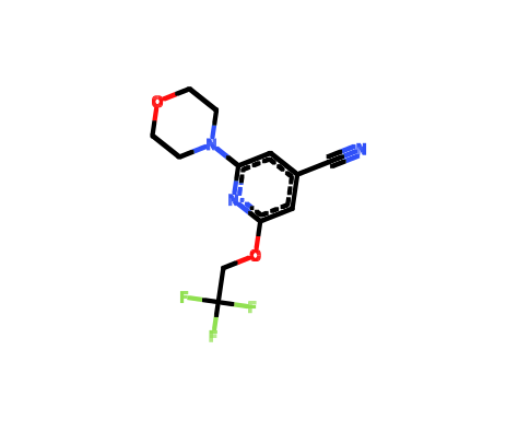 N#Cc1cc(OCC(F)(F)F)nc(N2CCOCC2)c1